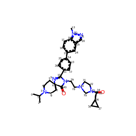 CC(C)N1CCC2(CC1)N=C(c1ccc(-c3ccc4c(cnn4C)c3)cc1)N(CCN1CCN(C(=O)C3CC3)C1)C2=O